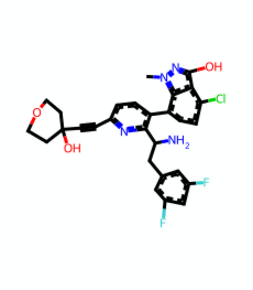 Cn1nc(O)c2c(Cl)ccc(-c3ccc(C#CC4(O)CCOCC4)nc3C(N)Cc3cc(F)cc(F)c3)c21